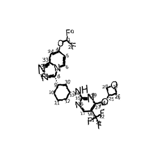 FC(F)Oc1ccn2c([C@H]3CCC[C@@H](Nc4ncc(C(F)(F)F)c(OC5COC5)n4)C3)nnc2c1